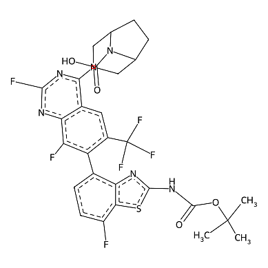 CC(C)(C)OC(=O)Nc1nc2c(-c3c(C(F)(F)F)cc4c(N5CC6CCC(C5)N6C(=O)O)nc(F)nc4c3F)ccc(F)c2s1